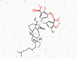 C=CC(Cc1cc(Br)c(OC)c(C(=O)OC)c1)C1([C@@H](C=C)Cc2cc(Br)c(OC)c(C(=O)OC)c2)CCC[C@@]2(C)[C@@H]1CC[C@@H]1[C@@H]2CC[C@]2(C)[C@@H]([C@H](C)CCCC(C)C)CC[C@@H]12